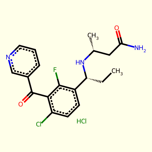 CC[C@@H](N[C@H](C)CC(N)=O)c1ccc(Cl)c(C(=O)c2cccnc2)c1F.Cl